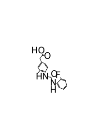 Cc1cc(CC(=O)O)ccc1NC(=O)Nc1ccccc1F